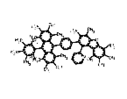 Bc1c(B)c(B)c(-c2c3c(B)c(B)c(O)c(B)c3c(-c3ccc(-c4c(B)c(B)c5oc6c(B)c(O)c(O)c(O)c6c5c4-c4ccccn4)cc3)c3c(B)c(O)c(B)c(B)c23)c(B)c1B